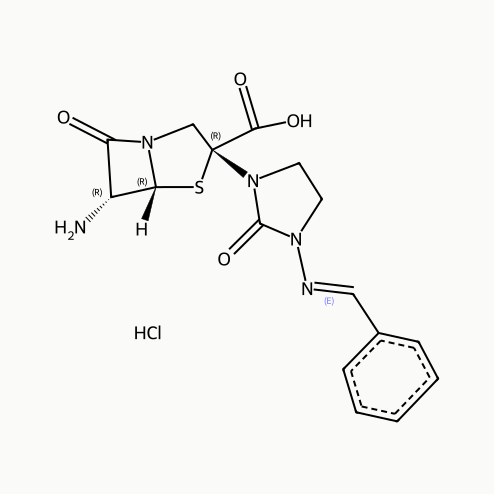 Cl.N[C@@H]1C(=O)N2C[C@@](C(=O)O)(N3CCN(/N=C/c4ccccc4)C3=O)S[C@H]12